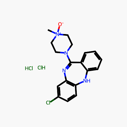 C[N+]1([O-])CCN(C2=Nc3cc(Cl)ccc3Nc3ccccc32)CC1.Cl.Cl